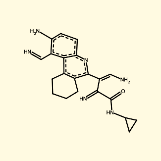 N=Cc1c(N)ccc2nc(/C(=C/N)C(=N)C(=O)NC3CC3)c3c(c12)CCCC3